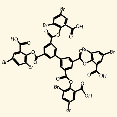 O=C(Oc1c(Br)cc(Br)cc1C(=O)O)c1cc(C(=O)Oc2c(Br)cc(Br)cc2C(=O)O)cc(-c2cc(C(=O)Oc3c(Br)cc(Br)cc3C(=O)O)cc(C(=O)Oc3c(Br)cc(Br)cc3C(=O)O)c2)c1